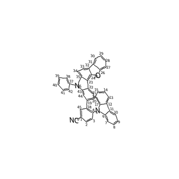 N#Cc1ccc(-n2c3ccccc3c3ccccc32)c(-c2ccc3c4c5oc6ccccc6c5ccc4n(-c4ccccc4)c3c2)c1